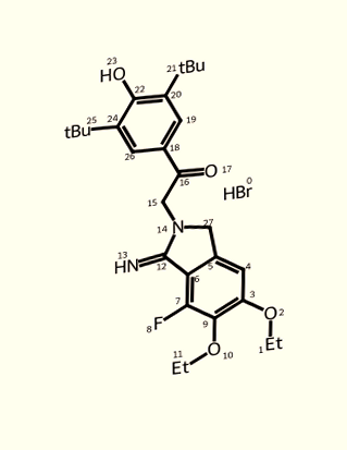 Br.CCOc1cc2c(c(F)c1OCC)C(=N)N(CC(=O)c1cc(C(C)(C)C)c(O)c(C(C)(C)C)c1)C2